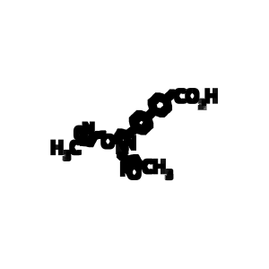 Cc1cc(COc2cc(-c3ccc(C4CCC(CC(=O)O)CC4)cc3)nn2Cc2cc(C)on2)no1